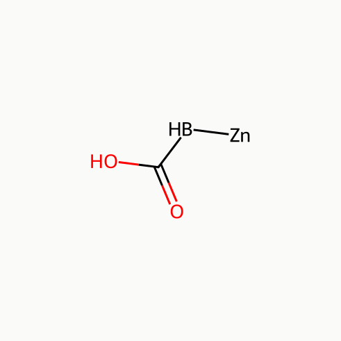 O=C(O)[BH][Zn]